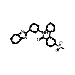 CS(=O)(=O)c1ccc(C(=O)Nc2cccc(-c3nc4ccccc4s3)c2)c(-c2ccccc2)c1